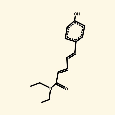 CCN(CC)C(=O)C=CC=Cc1ccc(O)cc1